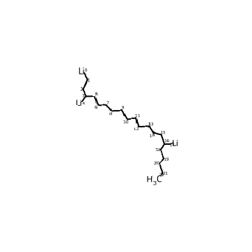 [Li][CH2]C[CH]([Li])CCCCCCCCCCC[CH]([Li])CCCCC